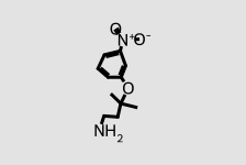 CC(C)(CCN)Oc1cccc([N+](=O)[O-])c1